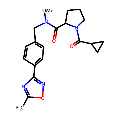 CON(Cc1ccc(-c2noc(C(F)(F)F)n2)cc1)C(=O)C1CCCN1C(=O)C1CC1